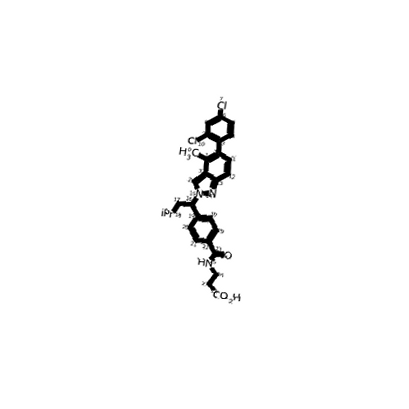 Cc1c(-c2ccc(Cl)cc2Cl)ccc2nn(C(CC(C)C)c3ccc(C(=O)NCCC(=O)O)cc3)cc12